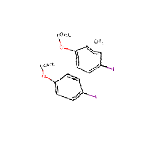 C.CCCCCCCCOc1ccc(I)cc1.CCCCCCCCOc1ccc(I)cc1